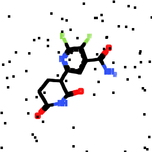 NC(=O)c1cc(C2CCC(=O)NC2=O)nc(F)c1F